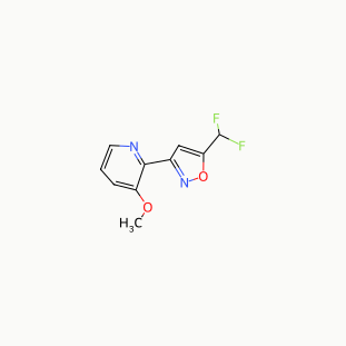 COc1cccnc1-c1cc(C(F)F)on1